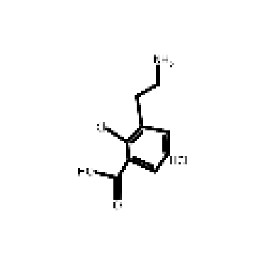 Cl.NCCc1cccc(C(=O)O)c1Cl